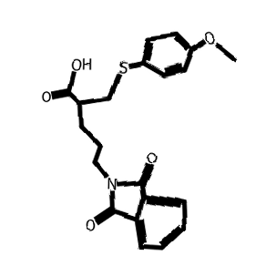 COc1ccc(SCC(CCCN2C(=O)c3ccccc3C2=O)C(=O)O)cc1